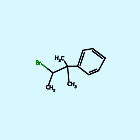 CC(Br)C(C)(C)c1ccccc1